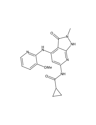 COc1cccnc1Nc1cc(NC(=O)C2CC2)nc2[nH]n(C)c(=O)c12